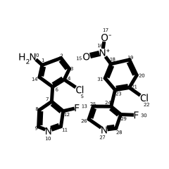 Nc1ccc(Cl)c(-c2ccncc2F)c1.O=[N+]([O-])c1ccc(Cl)c(-c2ccncc2F)c1